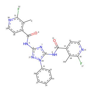 Cc1c(C(=O)Nc2nc(NC(=O)c3ccnc(F)c3C)n(-c3ccccc3)n2)ccnc1F